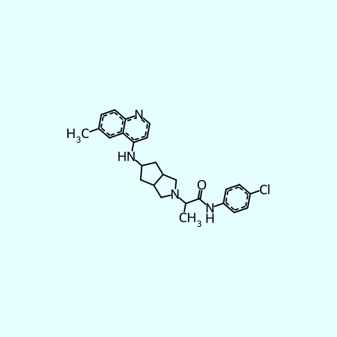 Cc1ccc2nccc(NC3CC4CN(C(C)C(=O)Nc5ccc(Cl)cc5)CC4C3)c2c1